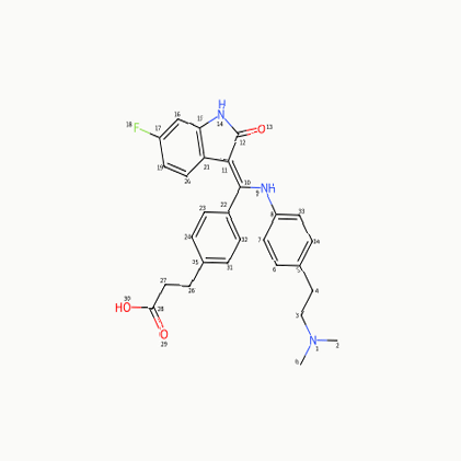 CN(C)CCc1ccc(N/C(=C2\C(=O)Nc3cc(F)ccc32)c2ccc(CCC(=O)O)cc2)cc1